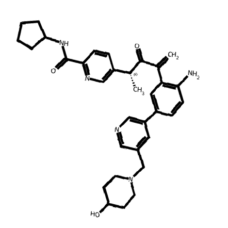 C=C(C(=O)[C@H](C)c1ccc(C(=O)NC2CCCC2)nc1)c1cc(-c2cncc(CN3CCC(O)CC3)c2)ccc1N